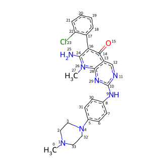 CN1CCN(c2ccc(Nc3ncc4c(=O)c(-c5ccccc5Cl)c(N)n(C)c4n3)cc2)CC1